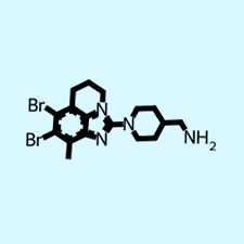 Cc1c(Br)c(Br)c2c3c1nc(N1CCC(CN)CC1)n3CCC2